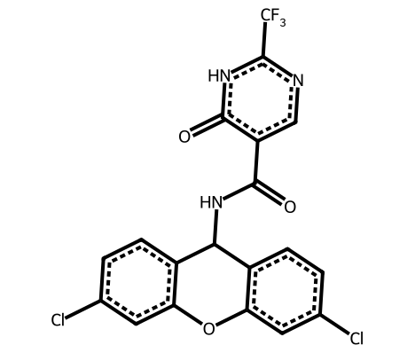 O=C(NC1c2ccc(Cl)cc2Oc2cc(Cl)ccc21)c1cnc(C(F)(F)F)[nH]c1=O